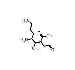 CCCCC(N)C(C)N(CC=O)C(=O)O